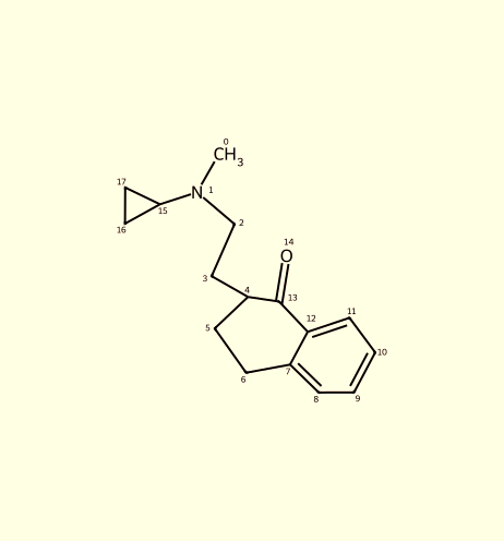 CN(CCC1CCc2ccccc2C1=O)C1CC1